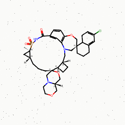 C[C@@]12C[C@H]1CCC[C@@]1(CN3CCOC[C@H]3CO1)[C@@H]1CC[C@H]1CN1C[C@@]3(CCCC4=CC(Cl)=CCC43)COc3ccc(cc31)C(=O)NS2(=O)=O